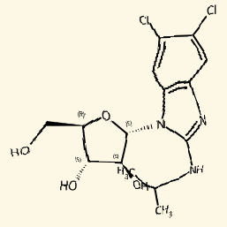 CC(C)Nc1nc2cc(Cl)c(Cl)cc2n1[C@H]1O[C@H](CO)[C@@H](O)[C@@H]1O